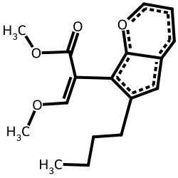 CCCCc1cc2cccoc-2c1C(=COC)C(=O)OC